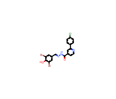 O=C(NN=Cc1cc(Br)c(O)c(Br)c1)c1ccnc(-c2ccc(Cl)cc2)c1